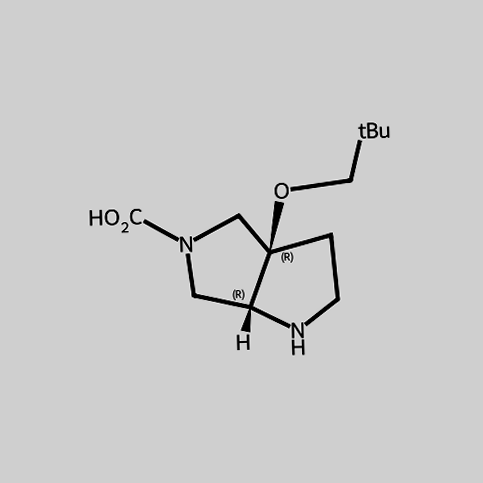 CC(C)(C)CO[C@@]12CCN[C@@H]1CN(C(=O)O)C2